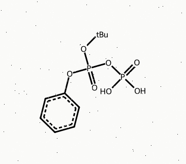 CC(C)(C)OP(=O)(Oc1ccccc1)OP(=O)(O)O